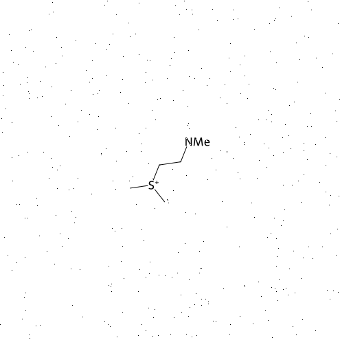 CNCC[S+](C)C